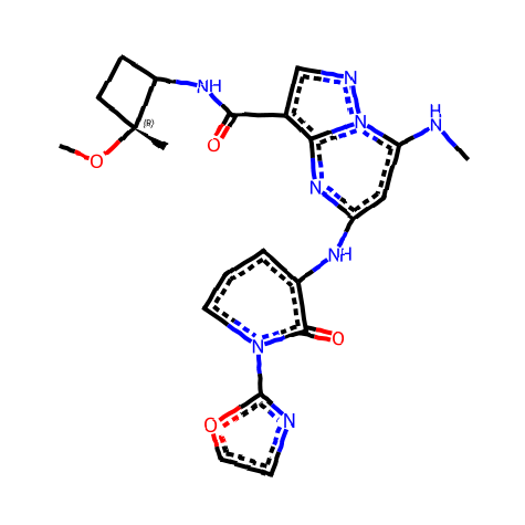 CNc1cc(Nc2cccn(-c3ncco3)c2=O)nc2c(C(=O)NC3CC[C@@]3(C)OC)cnn12